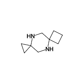 C1CC2(C1)CNC1(CC1)CN2